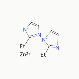 CCc1ncc[n-]1.CCc1ncc[n-]1.[Zn+2]